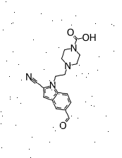 N#Cc1cc2cc(C=O)ccc2n1CCN1CCN(C(=O)O)CC1